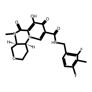 Cc1c(F)ccc(CNC(=O)c2cn3c(c(O)c2=O)C(=O)N(C)[C@@H]2COCC[C@@H]23)c1F